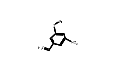 C=Cc1cc(OC(C)C)cc([N+](=O)[O-])c1